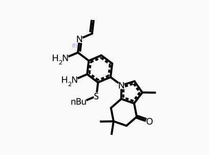 C=C/N=C(/N)c1ccc(-n2cc(C)c3c2CC(C)(C)CC3=O)c(SCCCC)c1N